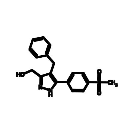 CS(=O)(=O)c1ccc(-c2[nH]nc(CO)c2Cc2ccccc2)cc1